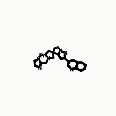 CC(C)n1ccnc1CN1CCC2(CCn3nc(-c4cnc5ccccc5c4)cc32)C1